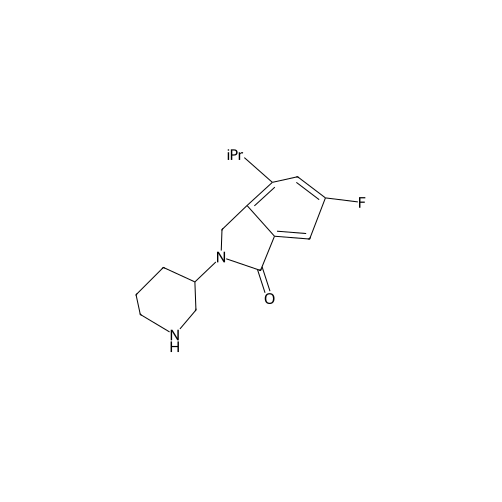 CC(C)c1cc(F)cc2c1CN(C1CCCNC1)C2=O